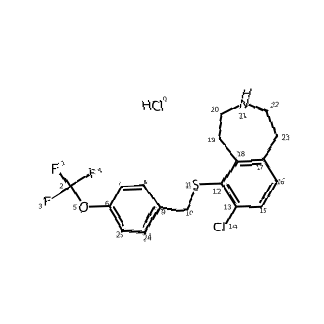 Cl.FC(F)(F)Oc1ccc(CSc2c(Cl)ccc3c2CCNCC3)cc1